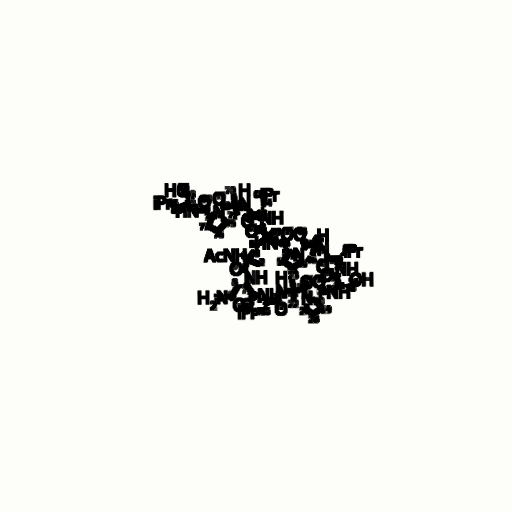 CC(=O)NC(C)(C)C(=O)N[C@@H](CC(N)=O)C(=O)N[C@@H](CC(C)C)C(=O)NC(C)(C)C(=O)N1CCC[C@H]1C(=O)N[C@@H](CO)C(=O)N[C@H](C(=O)NC(C)(C)C(=O)N1CCC[C@H]1C(=O)NC(C)(C)C(=O)N[C@@H](CC(C)C)C(=O)NC(C)(C)C(=O)N1CCC[C@H]1C(=O)N[C@H](CO)CC(C)C)C(C)C